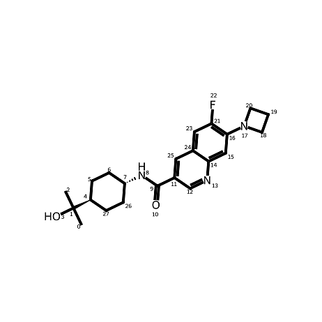 CC(C)(O)[C@H]1CC[C@H](NC(=O)c2cnc3cc(N4CCC4)c(F)cc3c2)CC1